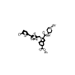 CC(C)OC(=O)c1ccc2c(c1)cc(C(=O)NC1CCN(C(C)C)CC1)n2Cc1nnc(-c2ccc(Cl)s2)s1